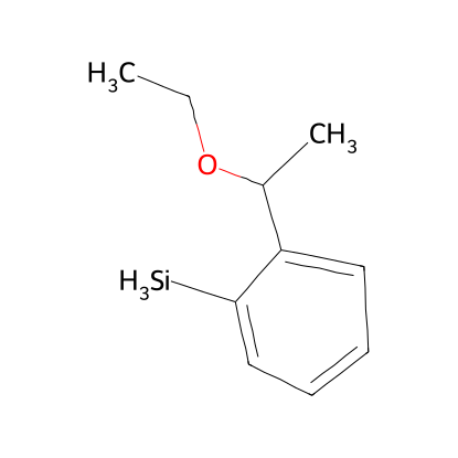 CCOC(C)c1ccccc1[SiH3]